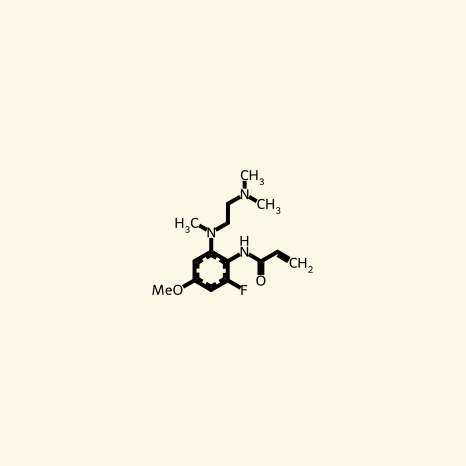 C=CC(=O)Nc1c(F)cc(OC)cc1N(C)CCN(C)C